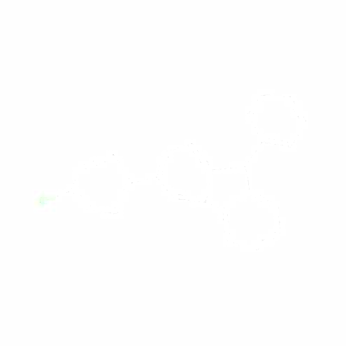 Clc1ccc(-c2ccc3c(c2)-c2ccccc2C3c2ccccc2)cc1